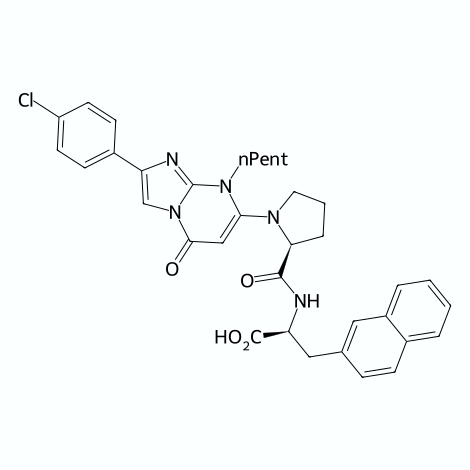 CCCCCn1c(N2CCC[C@H]2C(=O)N[C@@H](Cc2ccc3ccccc3c2)C(=O)O)cc(=O)n2cc(-c3ccc(Cl)cc3)nc12